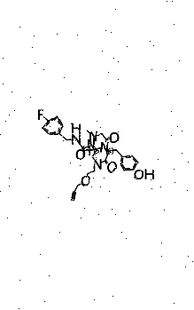 C#CCOCCN1C[C@H]2N(C(=O)CN(C)N2C(=O)NCc2ccc(F)cc2)[C@@H](Cc2ccc(O)cc2)C1=O